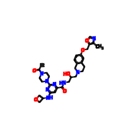 CCC(=O)N1CCN(c2nc(NC3COC3)cc(C(=O)NCC(O)CN3CCc4cc(OCc5ocnc5C)ccc4C3)n2)CC1